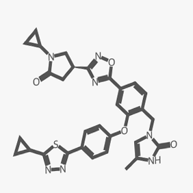 Cc1cn(Cc2ccc(-c3nc([C@H]4CC(=O)N(C5CC5)C4)no3)cc2Oc2ccc(-c3nnc(C4CC4)s3)cc2)c(=O)[nH]1